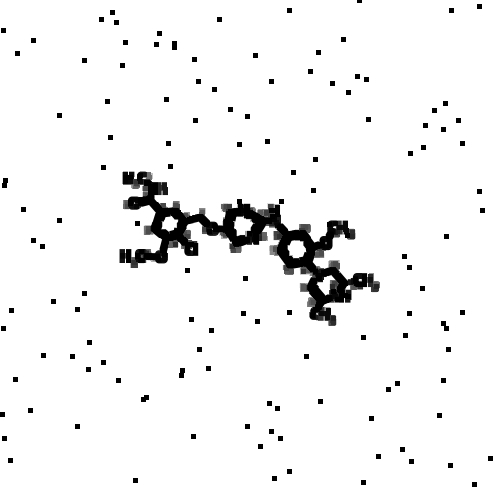 CNC(=O)c1cc(COc2cnc(Nc3ccc(N4C=C(C)N[C@@H](C)C4)c(OC)c3)nc2)c(Cl)c(OC)c1